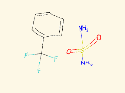 FC(F)(F)c1ccccc1.NS(N)(=O)=O